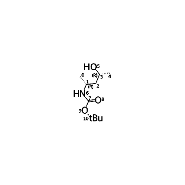 C[C@H](C[C@@H](C)O)NC(=O)OC(C)(C)C